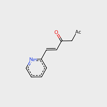 CC(=O)CC(=O)/C=C/c1ccccn1